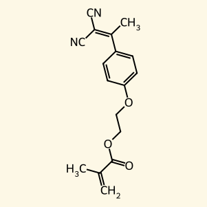 C=C(C)C(=O)OCCOc1ccc(C(C)=C(C#N)C#N)cc1